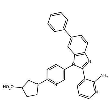 Nc1ncccc1-c1nc2ccc(-c3ccccc3)nc2n1-c1ccc(N2CCC(C(=O)O)C2)nc1